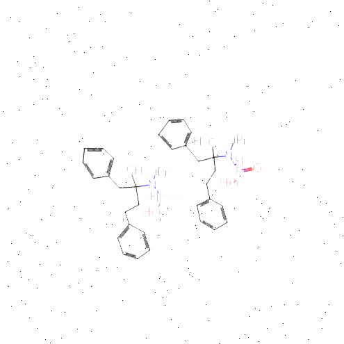 CC(C)N([PH](=O)O)C(C)(CCc1ccccc1)Cc1ccccc1.CC(C)N([PH](=O)O)C(C)(CCc1ccccc1)Cc1ccccc1